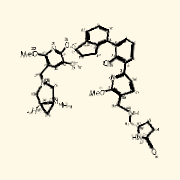 COc1nc(-c2cccc(-c3cccc4c3CC[C@@H]4Oc3nc(OC)c(CN4C[C@H]5C[C@H]5C4)cc3C(F)(F)F)c2Cl)ccc1CNC[C@@H]1CCC(=O)N1